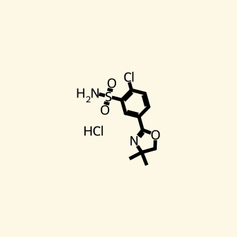 CC1(C)COC(c2ccc(Cl)c(S(N)(=O)=O)c2)=N1.Cl